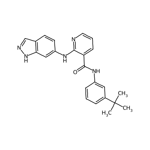 CC(C)(C)c1cccc(NC(=O)c2cccnc2Nc2ccc3cn[nH]c3c2)c1